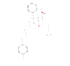 COc1ccc(CCNC2CC[C@@]3(NC(C)=O)[C@H]4Cc5ccc(O)c6c5[C@@]3(CCN4CC3CC3)C2O6)cc1OC